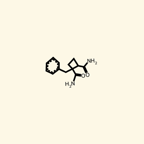 NC(=O)C1CCC1(Cc1ccccc1)C(N)=O